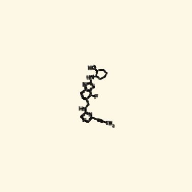 CC#Cc1cncc(NCc2ccc3nc(NC4CCCC[C@@H]4O)sc3c2F)n1